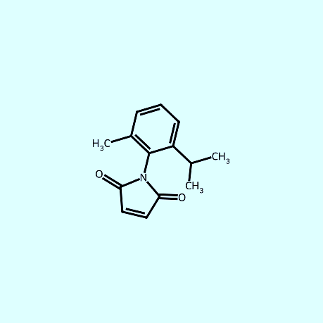 Cc1cccc(C(C)C)c1N1C(=O)C=CC1=O